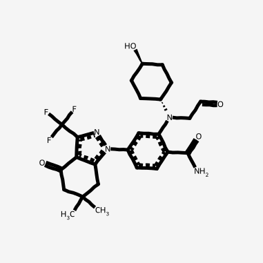 CC1(C)CC(=O)c2c(C(F)(F)F)nn(-c3ccc(C(N)=O)c(N(CC=O)[C@H]4CC[C@H](O)CC4)c3)c2C1